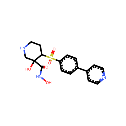 O=C(NO)C1(O)CNCCC1S(=O)(=O)c1ccc(-c2ccncc2)cc1